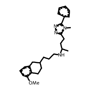 COc1cccc2c1CCC(CCCNC(C)CCc1nnc(-c3ccccc3)n1C)C2